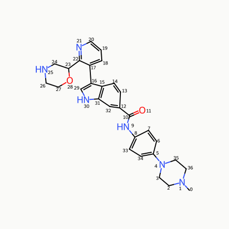 CN1CCN(c2ccc(NC(=O)c3ccc4c(-c5cccnc5C5CNCCO5)c[nH]c4c3)cc2)CC1